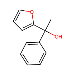 CC(O)(c1ccccc1)c1ccco1